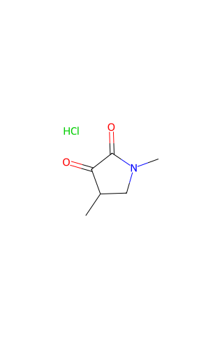 CC1CN(C)C(=O)C1=O.Cl